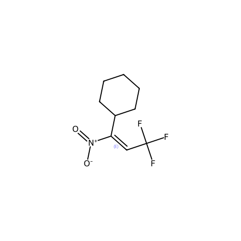 O=[N+]([O-])/C(=C/C(F)(F)F)C1CCCCC1